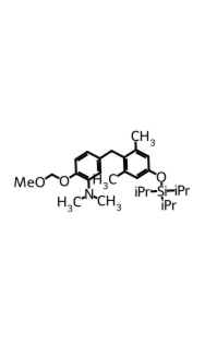 COCOc1ccc(Cc2c(C)cc(O[Si](C(C)C)(C(C)C)C(C)C)cc2C)cc1N(C)C